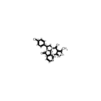 Cc1noc(C)c1C(=O)N1CC(c2ccc(Cl)cc2)N2C(=O)c3ccncc3C12